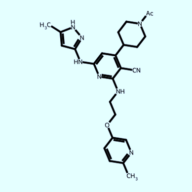 CC(=O)N1CCC(c2cc(Nc3cc(C)[nH]n3)nc(NCCOc3ccc(C)nc3)c2C#N)CC1